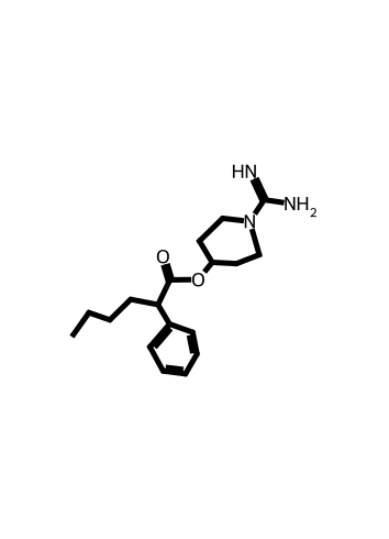 CCCCC(C(=O)OC1CCN(C(=N)N)CC1)c1ccccc1